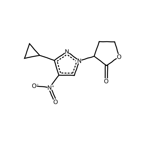 O=C1OCCC1n1cc([N+](=O)[O-])c(C2CC2)n1